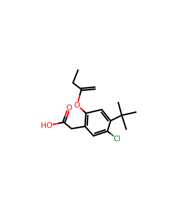 C=C(CC)Oc1cc(C(C)(C)C)c(Cl)cc1CC(=O)O